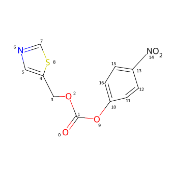 O=C(OCc1cncs1)Oc1ccc([N+](=O)[O-])cc1